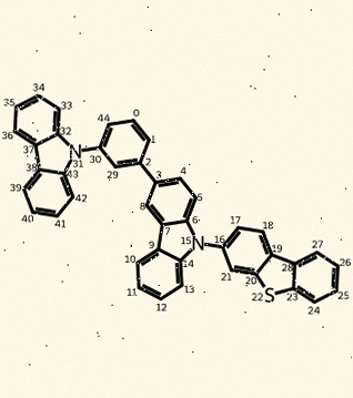 c1cc(-c2ccc3c(c2)c2ccccc2n3-c2ccc3c(c2)sc2ccccc23)cc(-n2c3ccccc3c3ccccc32)c1